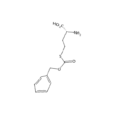 N[C@H](CCSC(=O)OCc1ccccc1)C(=O)O